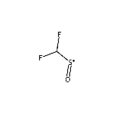 O=[S+]C(F)F